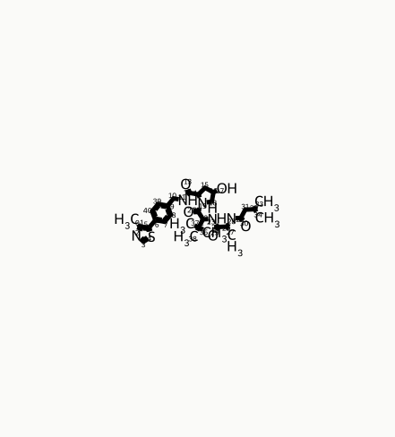 Cc1ncsc1-c1ccc(CNC(=O)C2CC(O)CN2C(=O)C(NC(=O)C(C)NC(=O)CC(C)C)C(C)(C)C)cc1